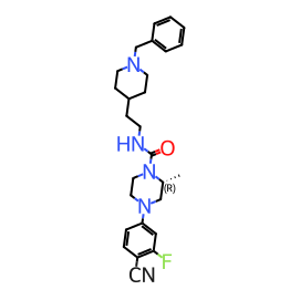 C[C@@H]1CN(c2ccc(C#N)c(F)c2)CCN1C(=O)NCCC1CCN(Cc2ccccc2)CC1